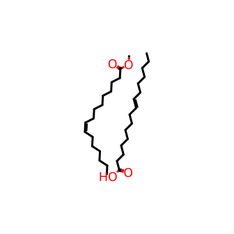 CCCCCC/C=C\CCCCCCCC(=O)OC.CCCCCCC=CCCCCCCCC(=O)O